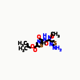 CC=C(C)COC(=O)C1=CN2C(=O)C(NC(=O)C(=NOC)c3csc(N)n3)[C@H]2SC1